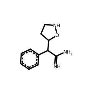 N=C(N)[C](c1ccccc1)C1CCNO1